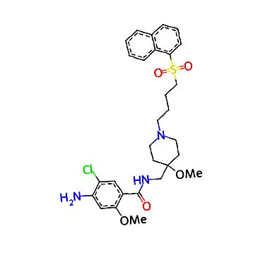 COc1cc(N)c(Cl)cc1C(=O)NCC1(OC)CCN(CCCCS(=O)(=O)c2cccc3ccccc23)CC1